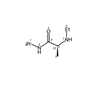 CCN[C@@H](C)C(=O)NC(C)C